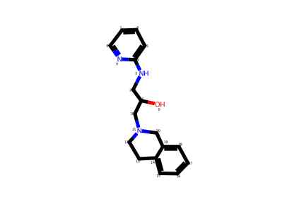 OC(CNc1ccccn1)CN1CCc2ccccc2C1